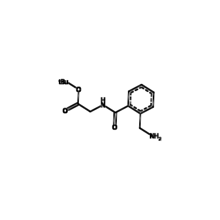 CC(C)(C)OC(=O)CNC(=O)c1ccccc1CN